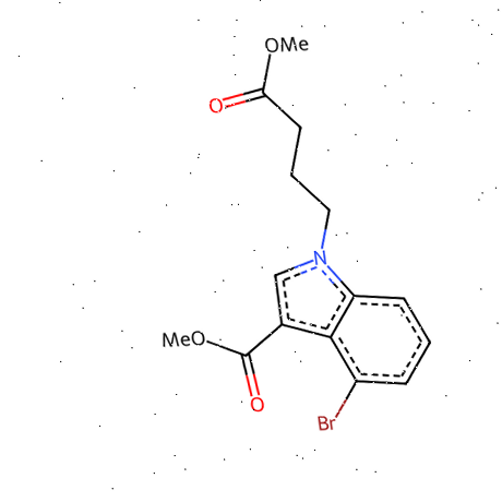 COC(=O)CCCn1cc(C(=O)OC)c2c(Br)cccc21